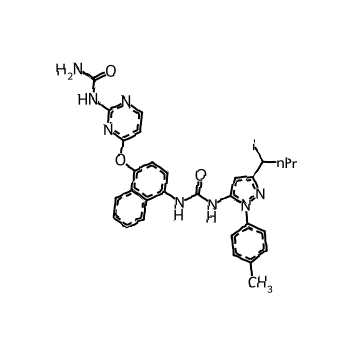 CCCC(I)c1cc(NC(=O)Nc2ccc(Oc3ccnc(NC(N)=O)n3)c3ccccc23)n(-c2ccc(C)cc2)n1